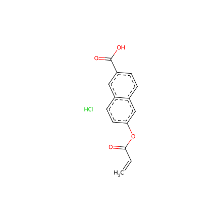 C=CC(=O)Oc1ccc2cc(C(=O)O)ccc2c1.Cl